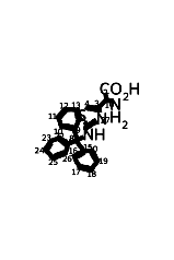 NC(C(=O)O)c1csc(NC(c2ccccc2)(c2ccccc2)c2ccccc2)n1